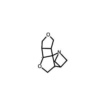 C1O[C]2C3COCC3C23[C]1C1CN3C1